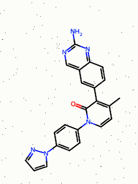 Cc1ccn(-c2ccc(-n3cccn3)cc2)c(=O)c1-c1ccc2nc(N)ncc2c1